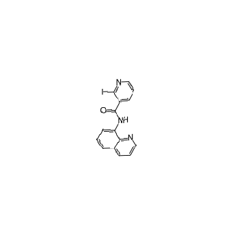 O=C(Nc1cccc2cccnc12)c1cccnc1I